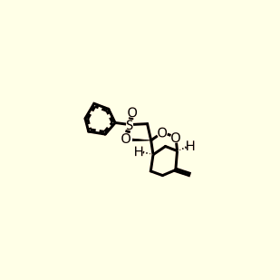 C=C1CC[C@@H]2C[C@H]1OO[C@@]2(C)CS(=O)(=O)c1ccccc1